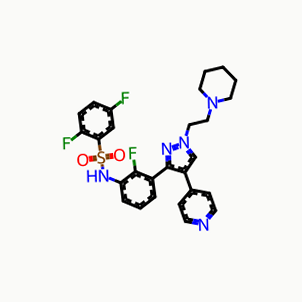 O=S(=O)(Nc1cccc(-c2nn(CCN3CCCCC3)cc2-c2ccncc2)c1F)c1cc(F)ccc1F